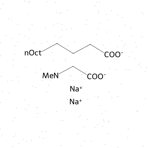 CCCCCCCCCCCC(=O)[O-].CNCC(=O)[O-].[Na+].[Na+]